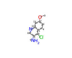 COc1ccc2c(Cl)c(N)cnc2c1